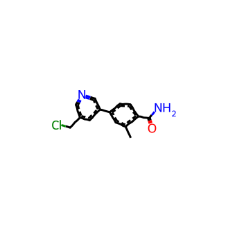 Cc1cc(-c2cncc(CCl)c2)ccc1C(N)=O